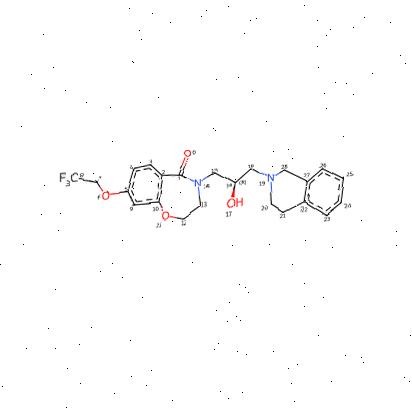 O=C1c2ccc(OCC(F)(F)F)cc2OCCN1C[C@H](O)CN1CCc2ccccc2C1